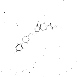 CC(=O)N[C@@H](C)C(=O)N1CCC2(CC1)C[C@H](CCN1CCN(c3ccc(F)cc3)CC1)OC2=O